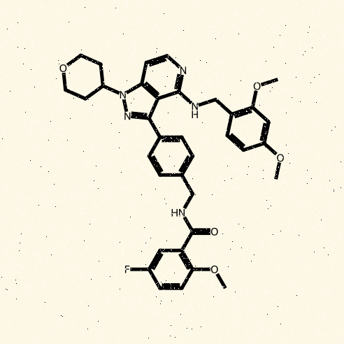 COc1ccc(CNc2nccc3c2c(-c2ccc(CNC(=O)c4cc(F)ccc4OC)cc2)nn3C2CCOCC2)c(OC)c1